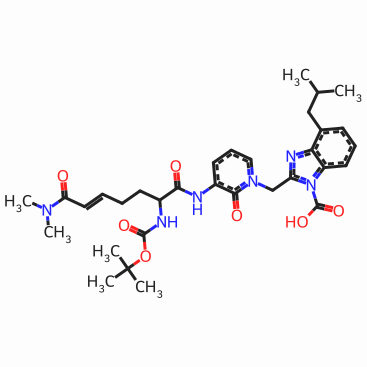 CC(C)Cc1cccc2c1nc(Cn1cccc(NC(=O)C(CCC=CC(=O)N(C)C)NC(=O)OC(C)(C)C)c1=O)n2C(=O)O